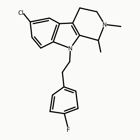 CC1c2c(c3cc(Cl)ccc3n2CCc2ccc(F)cc2)CCN1C